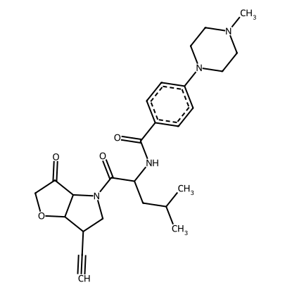 C#CC1CN(C(=O)C(CC(C)C)NC(=O)c2ccc(N3CCN(C)CC3)cc2)C2C(=O)COC12